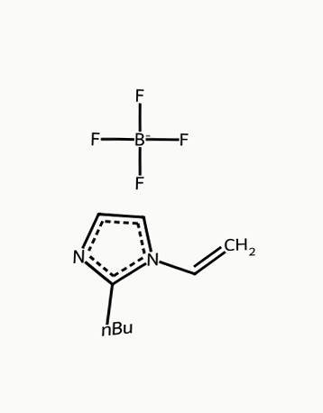 C=Cn1ccnc1CCCC.F[B-](F)(F)F